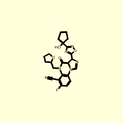 N#Cc1c(F)ccc2c1N(CC1CCCO1)C(=O)C1C(c3nc(C4(O)CCCC4)no3)N=CN21